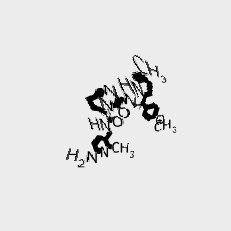 COc1ccc([C@H](CNc2ncc3n(c2=O)[C@H](C(=O)NCc2ccc(N)nc2C)CC3)c2ccc(C)cn2)cc1